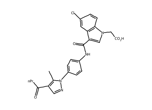 CCCC(=O)c1cnn(-c2ccc(NC(=O)c3cn(CC(=O)O)c4ccc(Cl)cc34)cc2)c1C